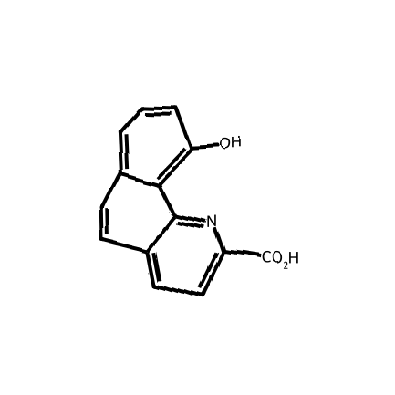 O=C(O)c1ccc2ccc3cccc(O)c3c2n1